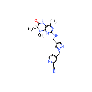 Cc1nc(NCc2cnn(Cc3ccnc(C#N)c3)c2)nc2c1NC(=O)[C@H](C)N2C